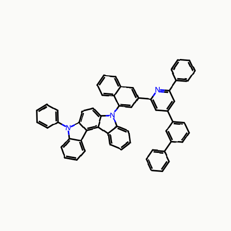 c1ccc(-c2cccc(-c3cc(-c4ccccc4)nc(-c4cc(-n5c6ccccc6c6c7c8ccccc8n(-c8ccccc8)c7ccc65)c5ccccc5c4)c3)c2)cc1